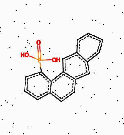 O=P(O)(O)c1cccc2ccc3cc4ccccc4cc3c12